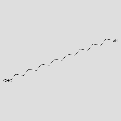 O=CCCCCCCCCCCCCCCCS